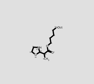 CCCCCCCCCCCCOC(=O)C(C)C1NCCO1